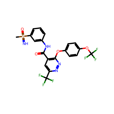 CS(=N)(=O)c1cccc(NC(=O)c2cc(C(F)(F)F)nnc2Oc2ccc(OC(F)(F)F)cc2)c1